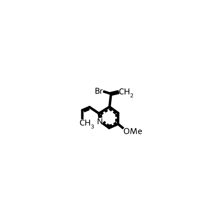 C=C(Br)c1cc(OC)cnc1/C=C\C